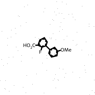 COc1cccc(-c2cccc(C(=O)O)c2F)c1